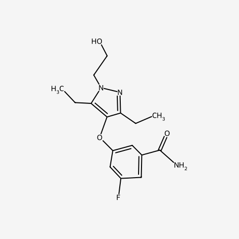 CCc1nn(CCO)c(CC)c1Oc1cc(F)cc(C(N)=O)c1